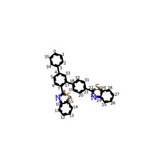 c1ccc(-c2ccc(-c3nc4ccccc4s3)c(-c3ccc(-c4nc5ccccc5s4)cc3)c2)cc1